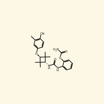 CC1(C)[C@H](NC(=O)Nc2ccccc2OC(N)=O)C(C)(C)[C@H]1Oc1ccc(C#N)c(I)c1